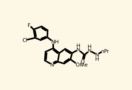 CCCNNC(=O)Nc1cc2c(Nc3ccc(F)c(Cl)c3)ccnc2cc1OC